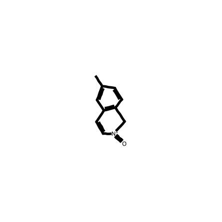 Cc1ccc2c(c1)C=C[N+](=O)C2